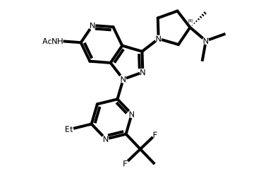 CCc1cc(-n2nc(N3CC[C@@](C)(N(C)C)C3)c3cnc(NC(C)=O)cc32)nc(C(C)(F)F)n1